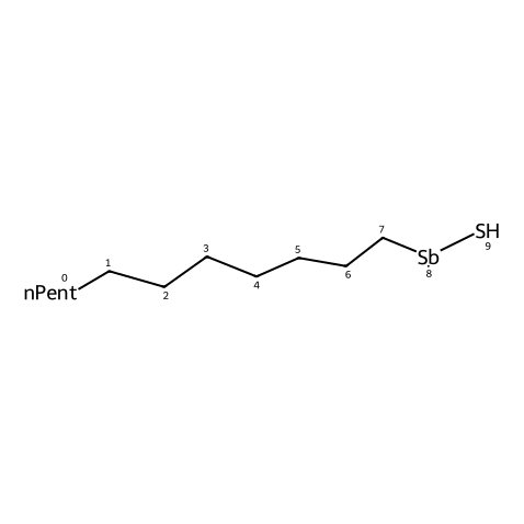 CCCCCCCCCCC[CH2][Sb][SH]